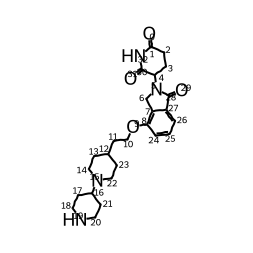 O=C1CCC(N2Cc3c(OCCC4CCN(C5CCNCC5)CC4)cccc3C2=O)C(=O)N1